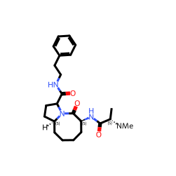 CN[C@@H](C)C(=O)N[C@H]1CCCC[C@H]2CCC(C(=O)NCCc3ccccc3)N2C1=O